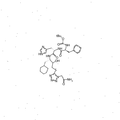 CC(C)(C)OC(=O)N[C@@H](Cc1ccccc1)C(=O)N[C@@H](Cc1c[nH]cn1)C(=O)N[C@@H](CC1CCCCC1)C(O)CSc1nnnn1CC(N)=O